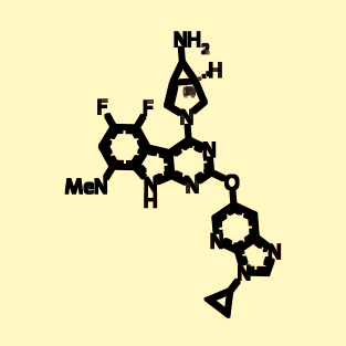 CNc1cc(F)c(F)c2c1[nH]c1nc(Oc3cnc4c(c3)ncn4C3CC3)nc(N3C=C4C(N)[C@H]4C3)c12